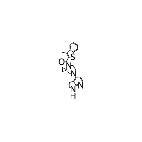 Cc1c(C(=O)N2CCN(c3ccnc4[nH]ccc34)CC23CC3)sc2ccccc12